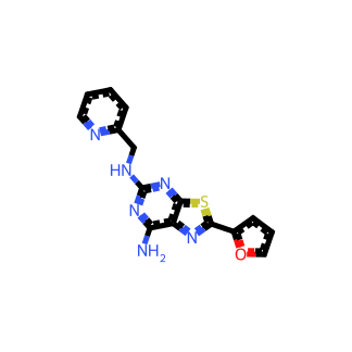 Nc1nc(NCc2ccccn2)nc2sc(-c3ccco3)nc12